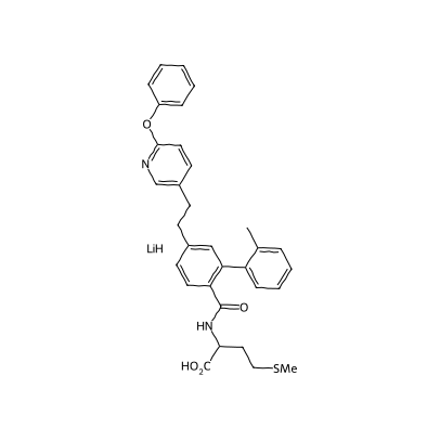 CSCCC(NC(=O)c1ccc(CCc2ccc(Oc3ccccc3)nc2)cc1-c1ccccc1C)C(=O)O.[LiH]